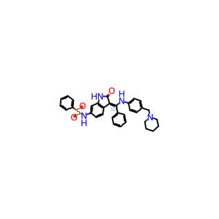 O=C1Nc2cc(NS(=O)(=O)c3ccccc3)ccc2/C1=C(/Nc1ccc(CN2CCCCC2)cc1)c1ccccc1